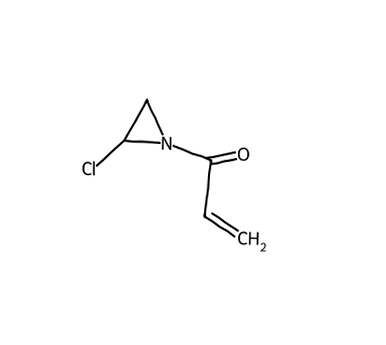 C=CC(=O)N1CC1Cl